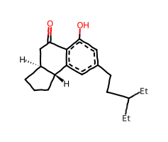 CCC(CC)CCc1cc(O)c2c(c1)[C@@H]1CCC[C@H]1CC2=O